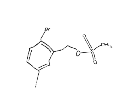 CS(=O)(=O)OCc1cc(I)ccc1Br